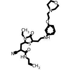 C=CCNC(=O)C(C#N)CC1SC(CCNc2cccc(OCCN3CCOCC3)c2)C(=O)N1CC